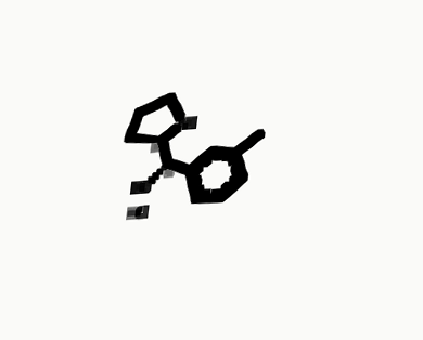 Cc1cccc([C@H](O)[C@H]2CCCN2)c1.Cl